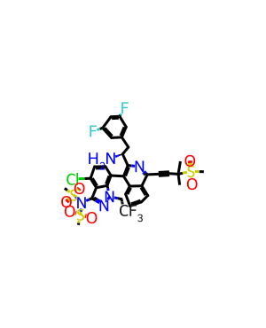 CC(C)(C#Cc1nc([C@@H](N)Cc2cc(F)cc(F)c2)c(-c2ccc(Cl)c3c(N(S(C)(=O)=O)S(C)(=O)=O)nn(CC(F)(F)F)c23)c2ccccc12)S(C)(=O)=O